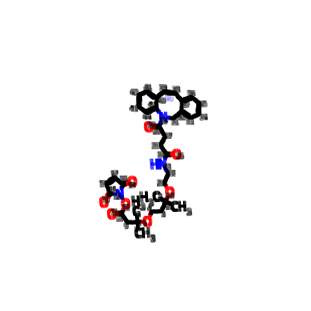 CC(C)(CCOC(C)(C)CC(=O)ON1C(=O)C=CC1=O)OCCNC(=O)CCC(=O)N1Cc2ccccc2/C=C\c2ccccc21